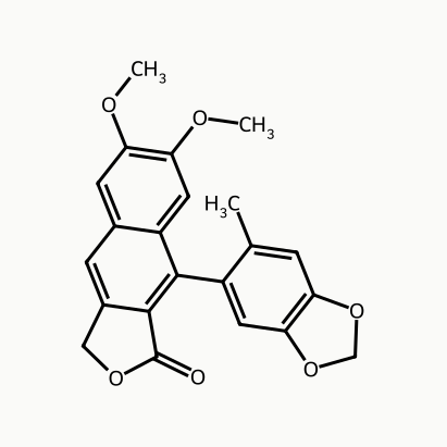 COc1cc2cc3c(c(-c4cc5c(cc4C)OCO5)c2cc1OC)C(=O)OC3